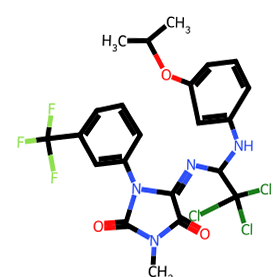 CC(C)Oc1cccc(NC(N=C2C(=O)N(C)C(=O)N2c2cccc(C(F)(F)F)c2)C(Cl)(Cl)Cl)c1